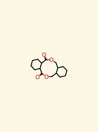 O=C1OCC2CCCCC2COC(=O)C2CCCCC12